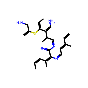 C=C/C(C)=C/C=N\C(C(=N)/N=C\C(C)C(=C/N)/C(=C\C)SC(=C)CN)=C(C)\C=C/C